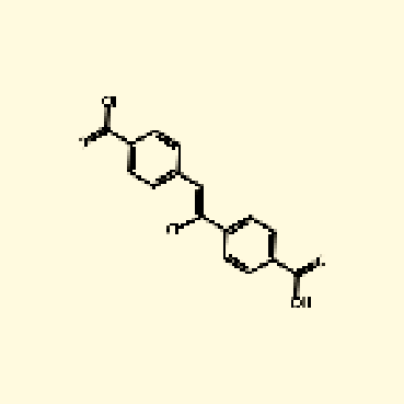 O=C(O)c1ccc(C=C(Cl)c2ccc(C(=O)O)cc2)cc1